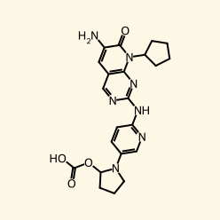 Nc1cc2cnc(Nc3ccc(N4CCCC4OC(=O)O)cn3)nc2n(C2CCCC2)c1=O